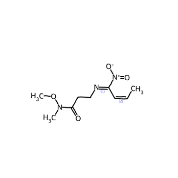 C/C=C\C(=N/CCC(=O)N(C)OC)[N+](=O)[O-]